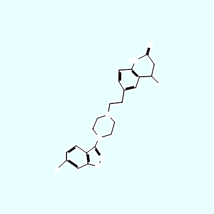 CC1CC(=O)Nc2ccc(CCN3CCN(c4nsc5cc(F)ccc45)CC3)cc21